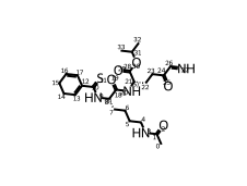 CC(=O)NCCCC[C@H](NC(=S)C1=CCCC=C1)C(=O)N[C@@H](CCC(=O)C=N)C(=O)OC(C)C